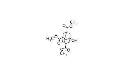 COC(=O)C12CC3(O)CC(C(=O)OC)(C1)CC(C(=O)OC)(C3)C2